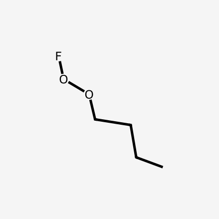 CCCCOOF